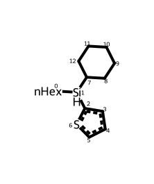 CCCCCC[SiH](c1cccs1)C1CCCCC1